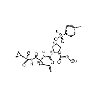 C=CC1C[C@]1(NC(=O)[C@@H]1C[C@H](OS(=O)(=O)c2ccc(C)cc2)CN1C(=O)OC(C)(C)C)C(=O)NS(=O)(=O)C1CC1